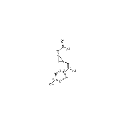 O=C(Cl)O[C@H]1C[C@@H]1/C=C(/Cl)c1ccc(Cl)cc1